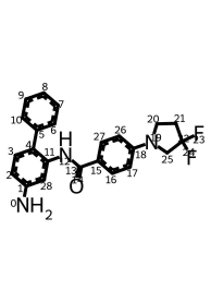 Nc1ccc(-c2ccccc2)c(NC(=O)c2ccc(N3CCC(F)(F)C3)cc2)c1